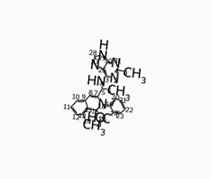 Cc1nc(NC(C)c2cc3cccc(C)c3c(=O)n2-c2ccccc2C)c2nc[nH]c2n1